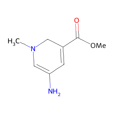 COC(=O)C1=CC(N)=CN(C)C1